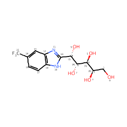 OC[C@@H](O)[C@H](O)[C@H](O)[C@@H](O)c1nc2cc(C(F)(F)F)ccc2[nH]1